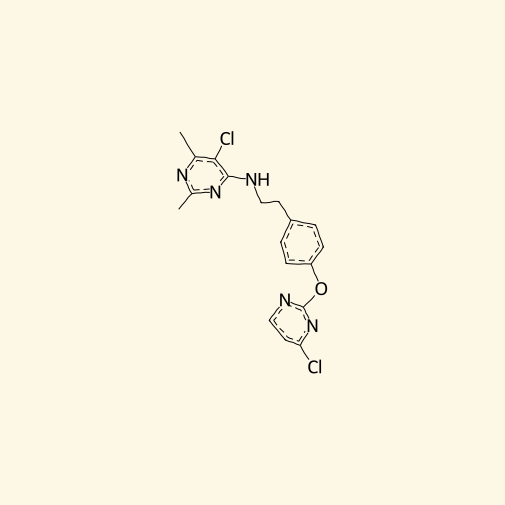 Cc1nc(C)c(Cl)c(NCCc2ccc(Oc3nccc(Cl)n3)cc2)n1